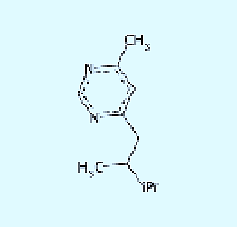 Cc1cc(CC(C)C(C)C)ncn1